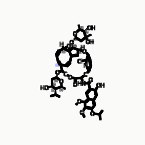 COc1c(OC(C)C)cc2cc(O)c(C(=O)NC3Cc4ccc(c(Cl)n4)O[C@H]4C=C5C#C/C(=C\C#C[C@@H]6OC56[C@@H]4O[C@H]4C[C@@](C)(O)[C@@H](O)[C@H](C)O4)C(O[C@H]4C[C@H](O)[C@H](C(C)C)[C@H](C)O4)COC3=O)cc2c1OC